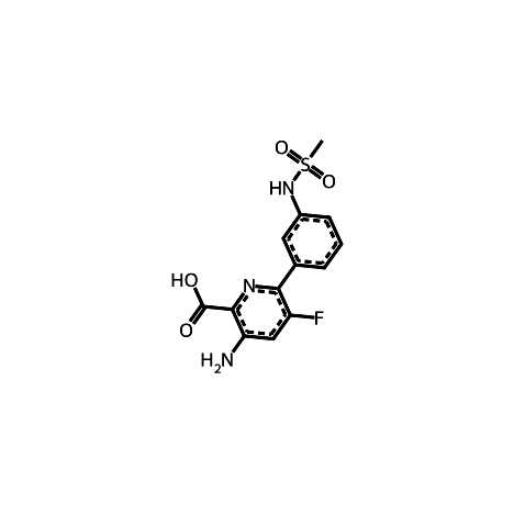 CS(=O)(=O)Nc1cccc(-c2nc(C(=O)O)c(N)cc2F)c1